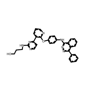 OCCCNc1nccc(-c2cccnc2Oc2ccc(Nc3nnc(-c4ccccc4)c4ccccc34)cc2)n1